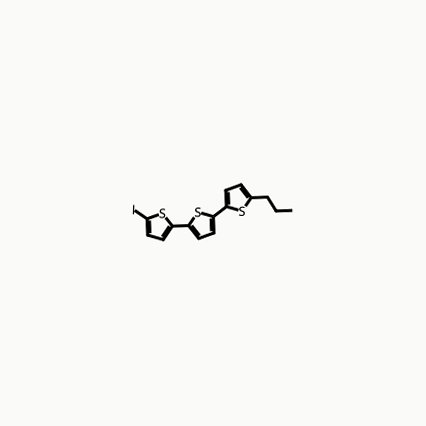 CCCc1ccc(-c2ccc(-c3ccc(I)s3)s2)s1